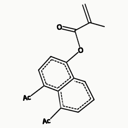 C=C(C)C(=O)Oc1ccc(C(C)=O)c2c(C(C)=O)cccc12